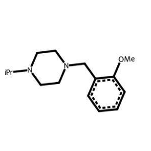 COc1ccccc1CN1CCN(C(C)C)CC1